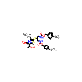 CC(O)[C@H]1C(=O)N2C(C(=O)O)=C(SC(CNC(=O)OCc3ccc([N+](=O)[O-])cc3)CNC(=O)OCc3ccc([N+](=O)[O-])cc3)S[C@H]12